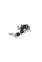 CC(c1ccc(Oc2ccc(C(=O)O)c(Cl)c2)cc1Cl)C(O)(c1cc2c(cc1F)OCC(=O)N2C)C(F)(F)F